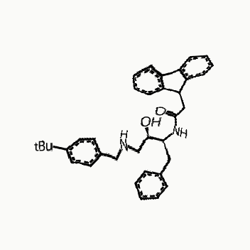 CC(C)(C)c1ccc(CNC[C@@H](O)[C@H](Cc2ccccc2)NC(=O)CC2c3ccccc3-c3ccccc32)cc1